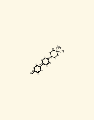 CCCC1(C#N)CCC(c2ccc(-c3ccc(C)cc3)cc2)CC1